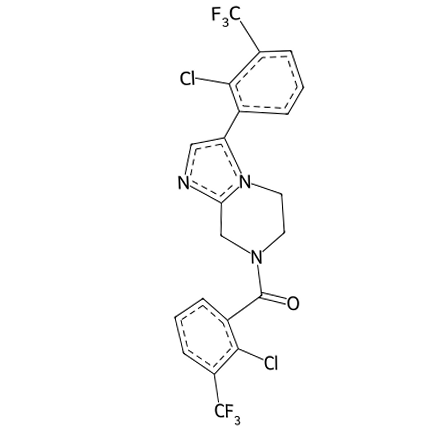 O=C(c1cccc(C(F)(F)F)c1Cl)N1CCn2c(-c3cccc(C(F)(F)F)c3Cl)cnc2C1